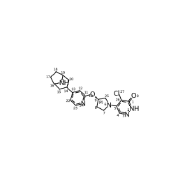 O=c1[nH]ncc(N2CC[C@@H](Oc3cc(C4CC5CCC(C4)N5)ccn3)C2)c1Cl